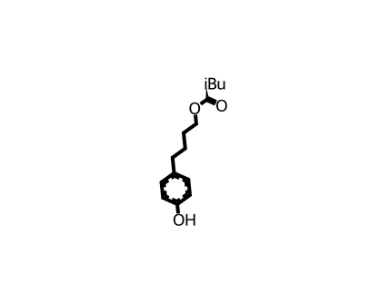 CC[C@H](C)C(=O)OCCCCc1ccc(O)cc1